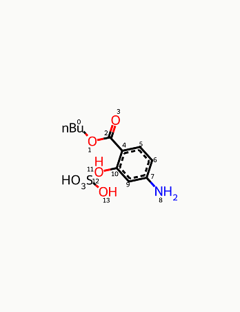 CCCCOC(=O)c1ccc(N)cc1O.O=S(=O)(O)O